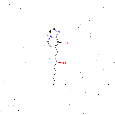 CCCCCC(O)CCc1ccn2ccnc2c1O